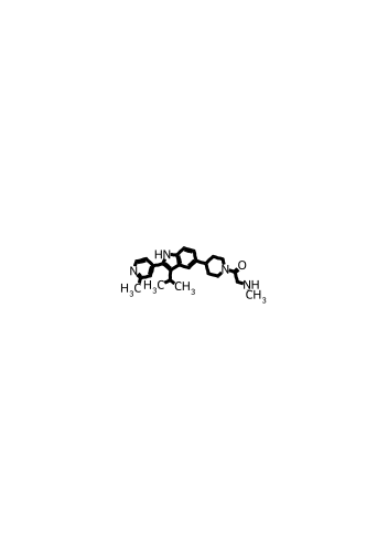 CNCC(=O)N1CCC(c2ccc3[nH]c(-c4ccnc(C)c4)c(C(C)C)c3c2)CC1